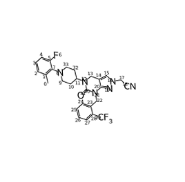 Cc1cccc(F)c1N1CCC(N2Cc3cn(CC#N)nc3N(Cc3ccccc3C(F)(F)F)C2=O)CC1